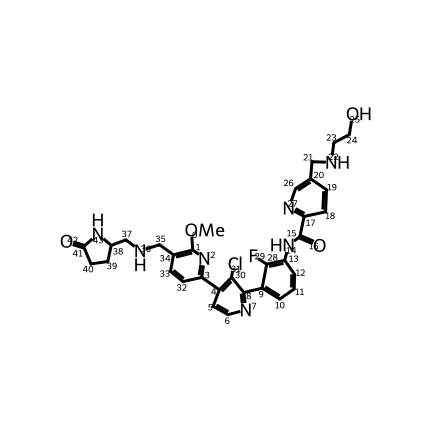 COc1nc(-c2ccnc(-c3cccc(NC(=O)c4ccc(CNCCO)cn4)c3F)c2Cl)ccc1CNCC1CCC(=O)N1